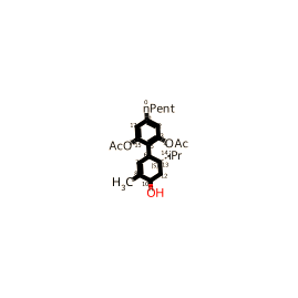 CCCCCc1cc(OC(C)=O)c(C2C=C(C)C(O)C[C@H]2C(C)C)c(OC(C)=O)c1